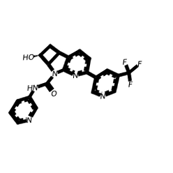 O=C(Nc1cccnc1)N1c2nc(-c3cncc(C(F)(F)F)c3)ccc2C2C[C@@H](O)C21